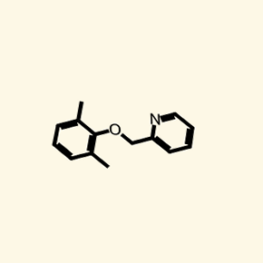 Cc1cccc(C)c1OCc1ccccn1